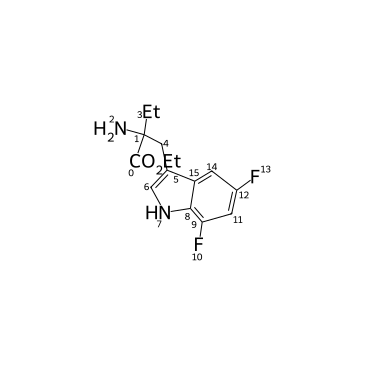 CCOC(=O)C(N)(CC)Cc1c[nH]c2c(F)cc(F)cc12